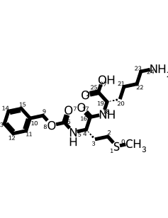 CSCC[C@H](NC(=O)OCc1ccccc1)C(=O)N[C@@H](CCCCN)C(=O)O